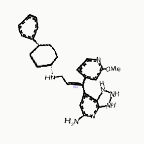 COc1cc(/C(=C\CN[C@H]2CC[C@H](c3ccccc3)CC2)c2cc(N)nc3c2NNN3)ccn1